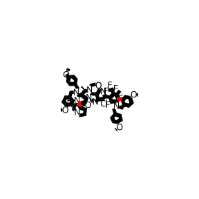 COc1ccc(CN(Cc2ccc(OC)cc2)c2ncccc2[C@@H](C)N2CCOc3nc(-c4c(F)c(N(Cc5ccc(OC)cc5)Cc5ccc(OC)cc5)c(F)c(C)c4C(F)(F)F)c(Cl)c4nc(OC[C@@]56CCCN5C[C@H](F)C6)nc2c34)cc1